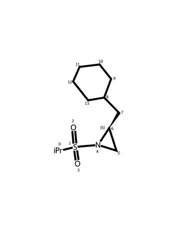 CC(C)S(=O)(=O)N1C[C@@H]1CC1CCCCC1